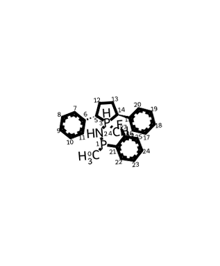 CP(N[PH]1(C)[C@H](c2ccccc2)CC[C@H]1c1ccccc1)c1ccccc1F